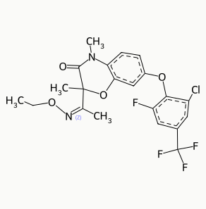 CCO/N=C(/C)C1(C)Oc2cc(Oc3c(F)cc(C(F)(F)F)cc3Cl)ccc2N(C)C1=O